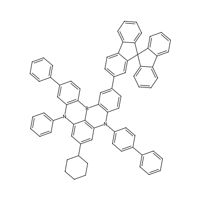 c1ccc(-c2ccc(N3c4ccc(-c5ccc6c(c5)C5(c7ccccc7-c7ccccc75)c5ccccc5-6)cc4B4c5ccc(-c6ccccc6)cc5N(c5ccccc5)c5cc(C6CCCCC6)cc3c54)cc2)cc1